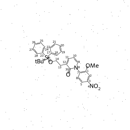 COc1cc([N+](=O)[O-])ccc1-n1cccc(CCO[Si](c2ccccc2)(c2ccccc2)C(C)(C)C)c1=O